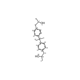 CC(O)Cc1ccc(C(C)(C)c2ccc(CC(C)O)cc2)cc1